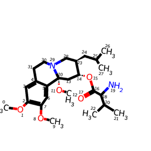 COc1cc2c(cc1OC)[C@]1(OC)C[C@@H](OC(=O)C(N)C(C)C)[C@H](CC(C)C)CN1CC2